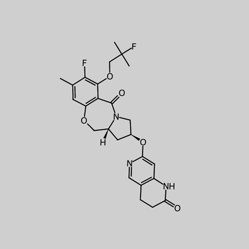 Cc1cc2c(c(OCC(C)(C)F)c1F)C(=O)N1C[C@@H](Oc3cc4c(cn3)CCC(=O)N4)C[C@@H]1CO2